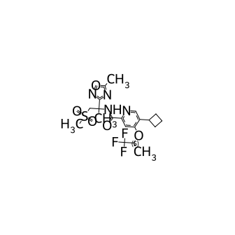 Cc1nc(C(C)(CS(C)(=O)=O)NC(=O)c2cc(O[C@@H](C)C(F)(F)F)c(C3CCC3)cn2)no1